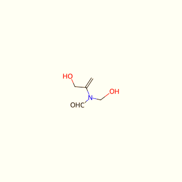 C=C(CO)N(C=O)CO